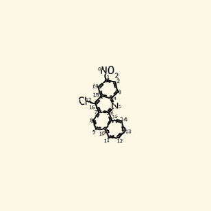 O=[N+]([O-])c1ccc2nc3c(ccc4ccccc43)c(Cl)c2c1